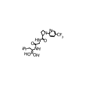 CC(C)CC(NC(=O)CNC(=O)C1CCN1c1ccc(C(F)(F)F)cn1)B(O)O